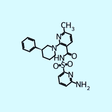 Cc1ccc(C(=O)NS(=O)(=O)c2cccc(N)n2)c(N2CCC[C@@H](c3ccccc3)C2)n1